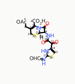 CC(=O)OCC1=C(C(=O)O)N2C(=O)[C@@H](NC(=O)C(=O)C3=CSC(NC=O)N3)[C@H]2SC1